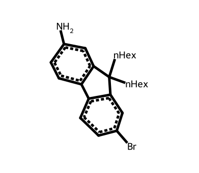 CCCCCCC1(CCCCCC)c2cc(N)ccc2-c2ccc(Br)cc21